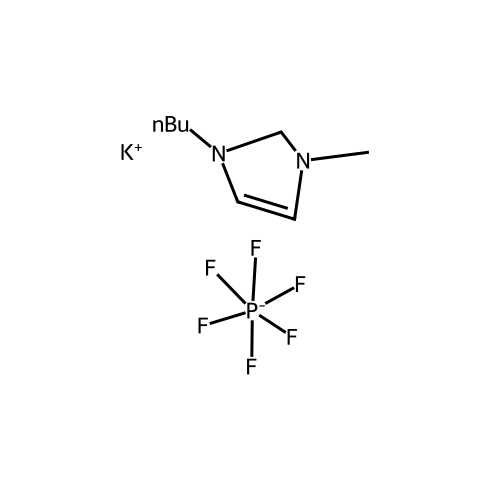 CCCCN1C=CN(C)C1.F[P-](F)(F)(F)(F)F.[K+]